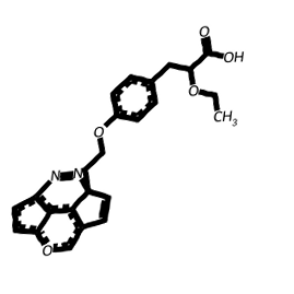 CCOC(Cc1ccc(OCCC23C=Cc4coc5ccc(c-5c42)N=N3)cc1)C(=O)O